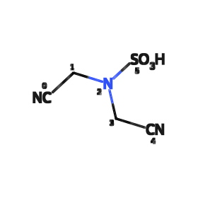 N#CCN(CC#N)S(=O)(=O)O